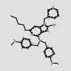 CCCCCc1cc2c(nc(O)n2Cc2cccnc2)c(N(Cc2ccc(OC)cc2)Cc2ccc(OC)cc2)n1